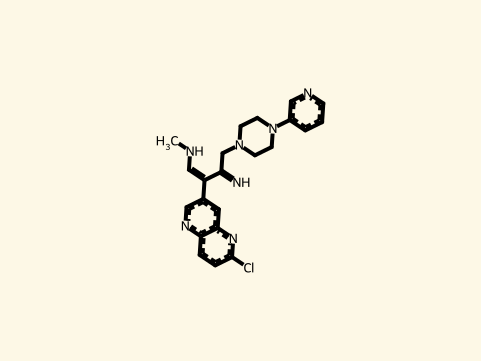 CN/C=C(\C(=N)CN1CCN(c2cccnc2)CC1)c1cnc2ccc(Cl)nc2c1